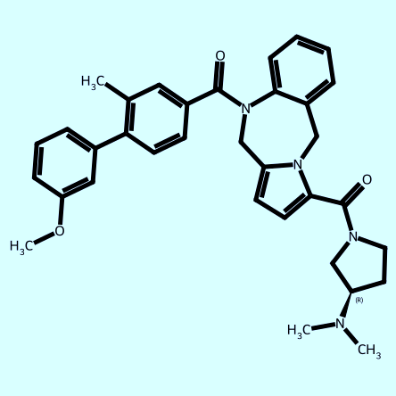 COc1cccc(-c2ccc(C(=O)N3Cc4ccc(C(=O)N5CC[C@@H](N(C)C)C5)n4Cc4ccccc43)cc2C)c1